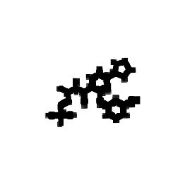 CC(/C=C/S(C)(=O)=O)NC(=O)c1cnc(C2CCCC2)nc1Oc1cccc(O)c1